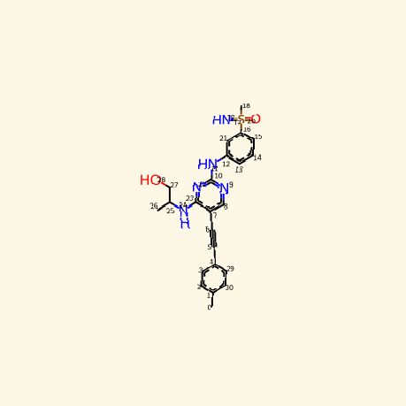 Cc1ccc(C#Cc2cnc(Nc3cccc(S(C)(=N)=O)c3)nc2NC(C)CO)cc1